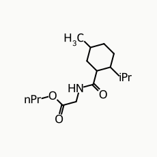 CCCOC(=O)CNC(=O)C1CC(C)CCC1C(C)C